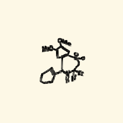 CCC1(CC)CS(=O)(=O)c2cc(OC)c(OC)cc2C(c2ccccc2)N1